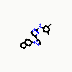 Cc1cc(C)cc(Nc2nccc(-c3ccnn3-c3ccc4c(c3)CCC4)n2)c1